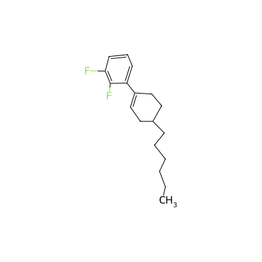 CCCCCCC1CC=C(c2cccc(F)c2F)CC1